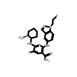 NC(=O)c1cc(F)c(NC2CCCC[C@@H]2N)nc1Nc1ccc2c(cnn2CCF)c1